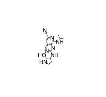 CC(C)Nc1nc(C#N)cc2cnc(N[C@H]3CCNC3O)nc12